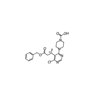 C[C@H](CC(=O)OCc1ccccc1)c1c(Cl)ncnc1N1CCN(C(=O)O)CC1